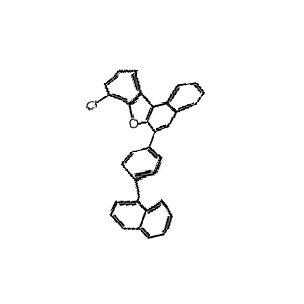 Clc1cccc2c1oc1c(-c3ccc(-c4cccc5ccccc45)cc3)cc3ccccc3c12